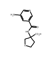 Nc1cncc(C(=O)NC2(C(=O)O)CCOC2)c1